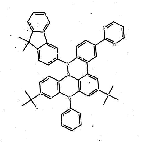 CC(C)(C)c1ccc2c(c1)N(c1ccccc1)c1cc(C(C)(C)C)cc3c1N2B(c1ccc2c(c1)-c1ccccc1C2(C)C)c1ccc(-c2ncccn2)cc1-3